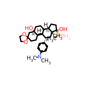 BP(C)[C@]1(O)CC[C@H]2[C@@H]3CC[C@@]4(O)CC5(CCC4=C3[C@@H](c3ccc(N(C)C)cc3)C[C@@]21C)OCCO5